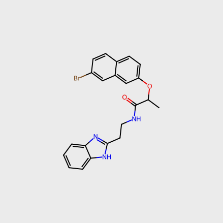 CC(Oc1ccc2ccc(Br)cc2c1)C(=O)NCCc1nc2ccccc2[nH]1